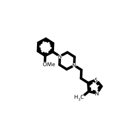 COc1ccccc1N1CCN(CCc2scnc2C)CC1